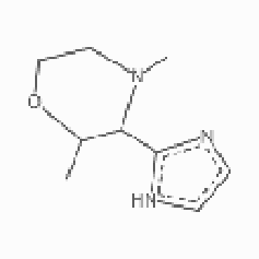 CC1OCCN(C)C1c1ncc[nH]1